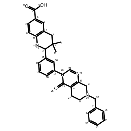 CC1(C)Cc2cc(C(=O)O)ccc2NC1c1cccc(-n2cnc3c(c2=O)CCN(Cc2ccccc2)C3)c1